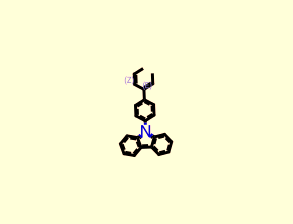 C/C=C\C(=C/C)c1ccc(-n2c3ccccc3c3ccccc32)cc1